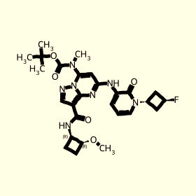 CO[C@@H]1CC[C@H]1NC(=O)c1cnn2c(N(C)C(=O)OC(C)(C)C)cc(Nc3cccn([C@H]4C[C@H](F)C4)c3=O)nc12